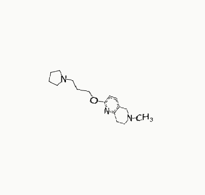 CN1CCc2nc(OCCCN3CCCC3)ccc2C1